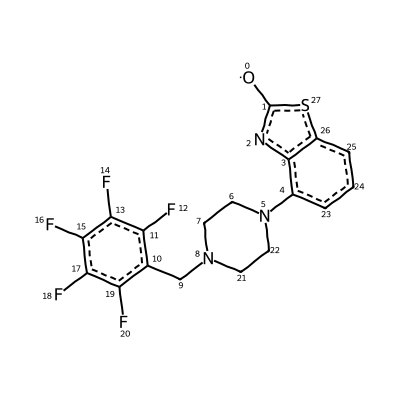 [O]c1nc2c(N3CCN(Cc4c(F)c(F)c(F)c(F)c4F)CC3)cccc2s1